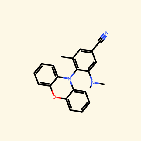 Cc1cc(C#N)cc(N(C)C)c1N1c2ccccc2Oc2ccccc21